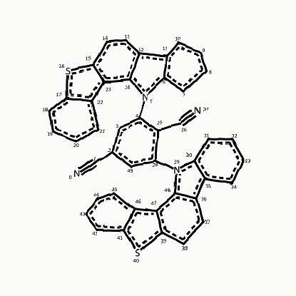 N#Cc1cc(-n2c3ccccc3c3ccc4sc5ccccc5c4c32)c(C#N)c(-n2c3ccccc3c3ccc4sc5ccccc5c4c32)c1